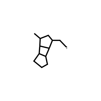 CC1CC(CI)C2C3CCCC3C12